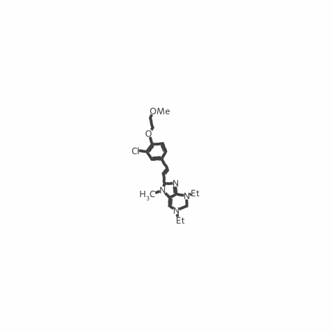 CCN1C=C2C(=NC(/C=C/c3ccc(OCCOC)c(Cl)c3)N2C)N(CC)C1